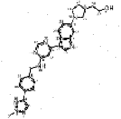 Cn1ncc(-c2ccc(CNc3cc(-c4cnc5cc(N6CCC(CCO)C6)ccn45)ncn3)cc2)n1